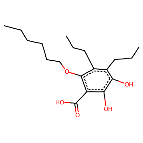 CCCCCCOc1c(CCC)c(CCC)c(O)c(O)c1C(=O)O